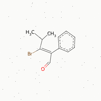 CC(C)/C(Br)=C(/C=O)c1ccccc1